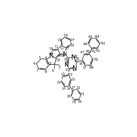 CC1(C)C2=C(CCC=C2)n2cc3c4ccccc4n(-c4nc(-c5cccc(-c6ccccc6)c5)nc(-c5cccc(-c6ccccc6)c5)n4)c3c21